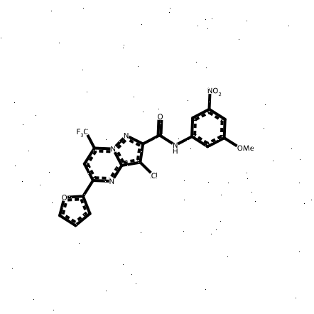 COc1cc(NC(=O)c2nn3c(C(F)(F)F)cc(-c4ccco4)nc3c2Cl)cc([N+](=O)[O-])c1